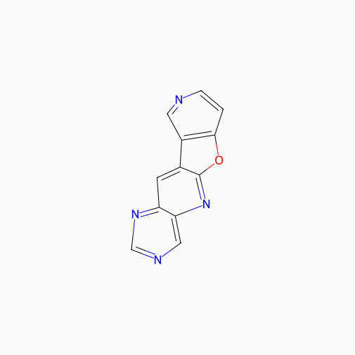 c1cc2oc3nc4cncnc4cc3c2cn1